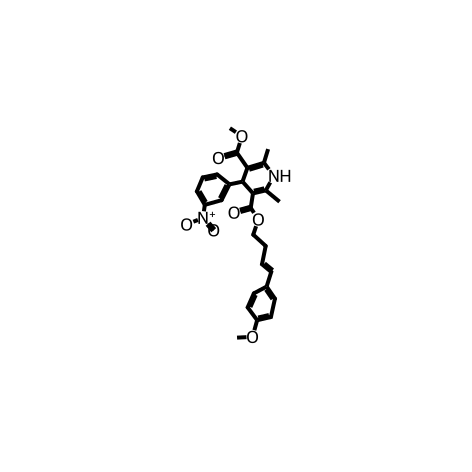 COC(=O)C1=C(C)NC(C)=C(C(=O)OCCC=Cc2ccc(OC)cc2)C1c1cccc([N+](=O)[O-])c1